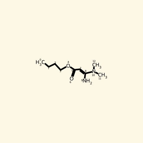 CCCCOC(=O)/C=C(\N)N(C)C